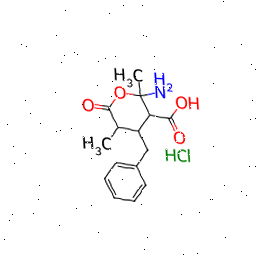 CC1C(=O)OC(C)(N)C(C(=O)O)C1Cc1ccccc1.Cl